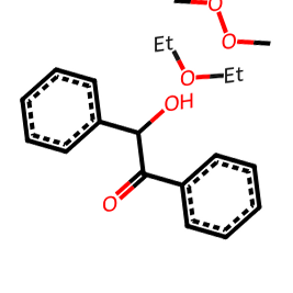 CCOCC.COOC.O=C(c1ccccc1)C(O)c1ccccc1